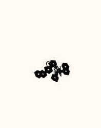 c1ccc(-c2nc(-c3cccc4ccccc34)nc(-c3cccc4oc5cc(-c6ccc7ccccc7c6)ccc5c34)n2)cc1